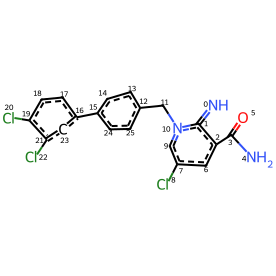 N=c1c(C(N)=O)cc(Cl)cn1Cc1ccc(-c2ccc(Cl)c(Cl)c2)cc1